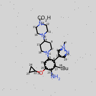 Cn1cc(-c2c(N3CCC(N4CCN(C(=O)O)CC4)CC3)cc(OC3CC3)c(N)c2C(C)(C)C)cn1